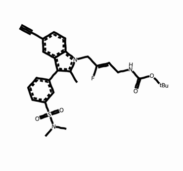 C#Cc1ccc2c(c1)c(-c1cccc(S(=O)(=O)N(C)C)c1)c(C)n2C/C(F)=C/CNC(=O)OC(C)(C)C